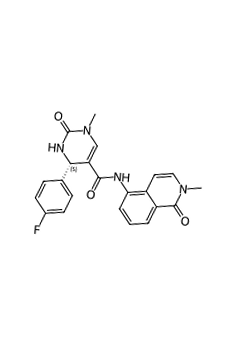 CN1C=C(C(=O)Nc2cccc3c(=O)n(C)ccc23)[C@H](c2ccc(F)cc2)NC1=O